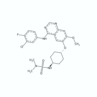 COc1cc2ncnc(Nc3ccc(F)c(Cl)c3)c2cc1O[C@H]1CC[C@H](NS(=O)(=O)N(C)C)CC1